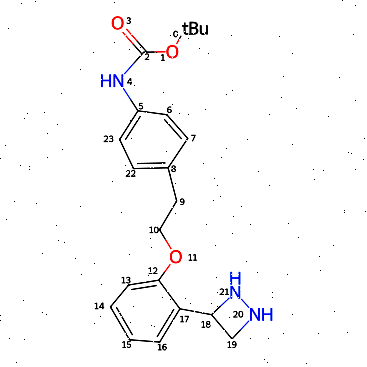 CC(C)(C)OC(=O)Nc1ccc(CCOc2ccccc2C2CNN2)cc1